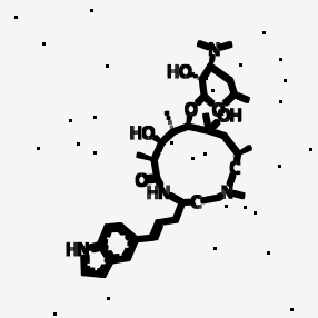 CC1C[C@H](N(C)C)[C@@H](O)C(O[C@@H]2[C@@H](C)[C@H](O)[C@H](C)C(=O)NC(C/C=C/c3ccc4[nH]ccc4c3)CCN(C)C[C@H](C)CC2(C)O)O1